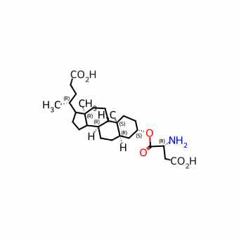 C[C@H](CCC(=O)O)C1CCC2[C@@H]3CC[C@@H]4C[C@@H](OC(=O)[C@H](N)CC(=O)O)CC[C@]4(C)C3CC[C@@]21C